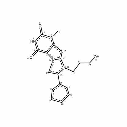 Cn1c(=O)[nH]c(=O)c2c1nc1n(CCCO)c(-c3ccccc3)cn21